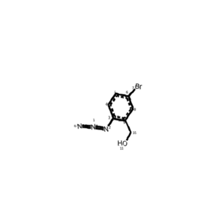 [N-]=[N+]=Nc1ccc(Br)cc1CO